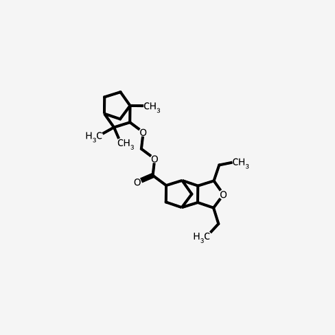 CCC1OC(CC)C2C3CC(CC3C(=O)OCOC3C4(C)CCC(C4)C3(C)C)C12